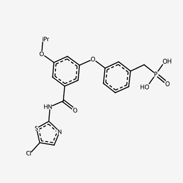 CC(C)Oc1cc(Oc2cccc(CP(=O)(O)O)c2)cc(C(=O)Nc2ncc(Cl)s2)c1